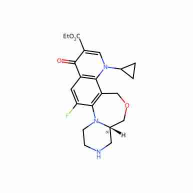 CCOC(=O)c1cn(C2CC2)c2c3c(c(F)cc2c1=O)N1CCNC[C@H]1COC3